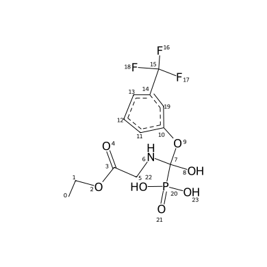 CCOC(=O)CNC(O)(Oc1cccc(C(F)(F)F)c1)P(=O)(O)O